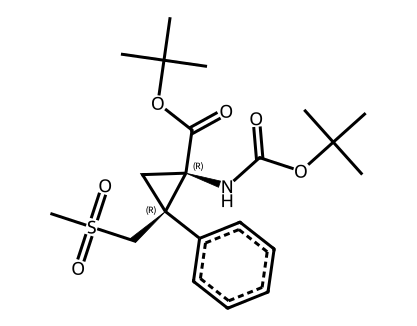 CC(C)(C)OC(=O)N[C@]1(C(=O)OC(C)(C)C)C[C@@]1(CS(C)(=O)=O)c1ccccc1